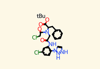 CC(C)(C)OC(=O)C(Cc1ccccc1)N(CC(=O)Nc1cc(Cl)ccc1N1C=CNN1)C(=O)CCl